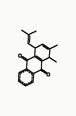 CC(C)=CC1C=C(C)C(C)C2=C1C(=O)c1ccccc1C2=O